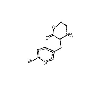 O=C1OCCNC1Cc1ccc(Br)nc1